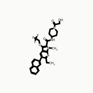 CCc1nc2c(cc1-c1ccc3ccccc3c1)c(OCC(F)(F)F)c(C(=O)NC1CCN(C(=O)CO)CC1)n2C